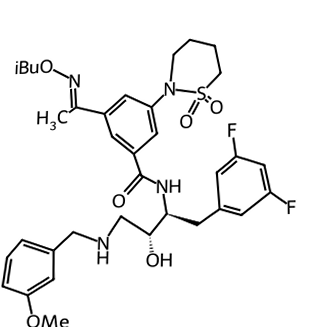 COc1cccc(CNC[C@@H](O)[C@H](Cc2cc(F)cc(F)c2)NC(=O)c2cc(/C(C)=N/OCC(C)C)cc(N3CCCCS3(=O)=O)c2)c1